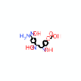 N/C(=N/O)c1ccc(/C(CC/C(=N/O)c2ccc(OCC(=O)O)cc2)=N\O)cc1